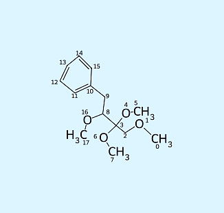 COCC(OC)(OC)C(Cc1ccccc1)OC